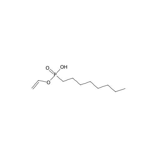 C=COP(=O)(O)CCCCCCCC